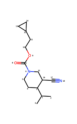 CC(C)C1CCN(C(=O)OCCC2CC2)CC1C#N